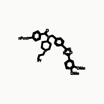 CCCCCc1ccc(C(=O)N(Cc2ccc(-c3noc(-c4ccc(OC)c(OC)c4)n3)cc2)C2CCN(CCC(C)C)CC2)cc1